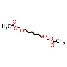 CC(=O)OCOCCCCCCOCOC(C)=O